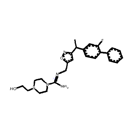 CC(c1ccc(-c2ccccc2)c(F)c1)c1cc(C/N=C(\N)N2CCN(CCO)CC2)on1